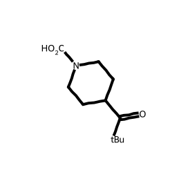 CC(C)(C)C(=O)C1CCN(C(=O)O)CC1